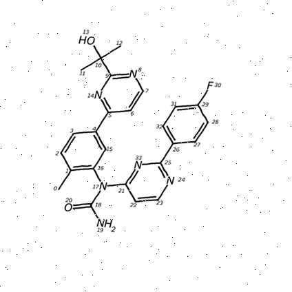 Cc1ccc(-c2ccnc(C(C)(C)O)n2)cc1N(C(N)=O)c1ccnc(-c2ccc(F)cc2)n1